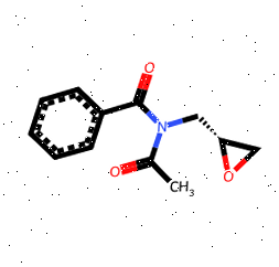 CC(=O)N(C[C@@H]1CO1)C(=O)c1ccccc1